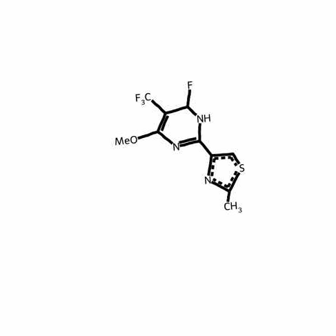 COC1=C(C(F)(F)F)C(F)NC(c2csc(C)n2)=N1